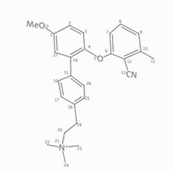 COc1ccc(Oc2cccc(C)c2C#N)c(-c2ccc(CC[N+](C)(C)C)cc2)c1